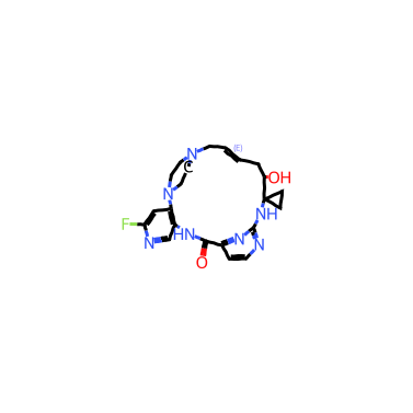 O=C1Nc2cnc(F)cc2N2CCN(C/C=C/CC(O)C3(CC3)Nc3nccc1n3)CC2